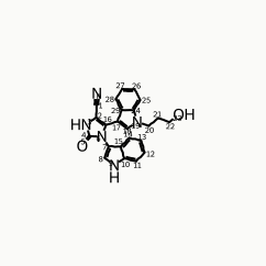 N#Cc1[nH]c(=O)n(-c2c[nH]c3ccccc23)c1-c1cn(CCCO)c2ccccc12